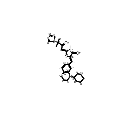 CC(C)(C(=O)/C=c1\[nH]c(=O)/c(=C/c2ccc3c(c2)N(C2CCCCC2)CCO3)s1)n1cncn1